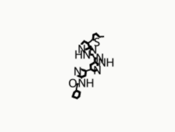 Cc1ccc(-c2ccnc3[nH]c(-c4n[nH]c5ncc(-c6cncc(NC(=O)c7ccccc7)c6)cc45)nc23)s1